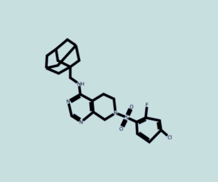 O=S(=O)(c1ccc(Cl)cc1F)N1CCc2c(ncnc2NCC23CC4CC(CC(C4)C2)C3)C1